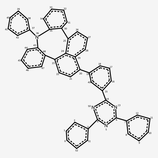 c1ccc(-c2nc(-c3ccccc3)nc(-c3cccc(-c4ccc5c6c(cccc46)-c4ccccc4N(c4ccccc4)c4ccccc4-5)c3)n2)cc1